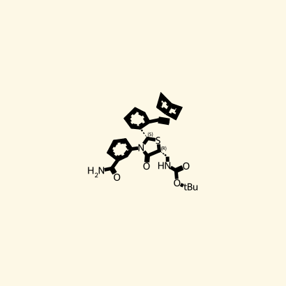 C#Cc1ccccc1[C@@H]1S[C@H](CNC(=O)OC(C)(C)C)C(=O)N1c1cccc(C(N)=O)c1.c1cc2ccc1-2